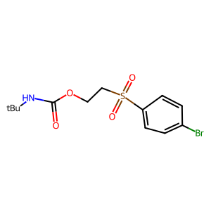 CC(C)(C)NC(=O)OCCS(=O)(=O)c1ccc(Br)cc1